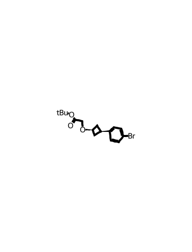 CC(C)(C)OC(=O)CO[C@H]1C[C@@H](c2ccc(Br)cc2)C1